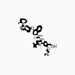 C[C@H]1CCCCN1c1nnc2ccc(O[C@@H]3CC[C@H](NC(=O)Nc4cc(C(C)(C)C)nn4-c4ccc(CO)c(OCCN(C)C)c4)c4ccccc43)cn12